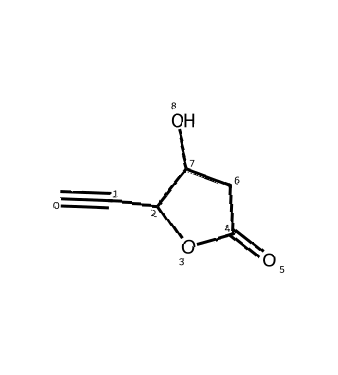 C#CC1OC(=O)CC1O